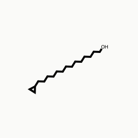 OCCCCCCCCCCCCCCC1CC1